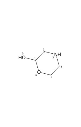 OC1[CH]NCCO1